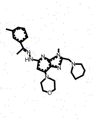 C/C(=N\Nc1cc(N2CCOCC2)c2nc(CN3CCCCC3)n(C)c2n1)c1cccc(C)c1